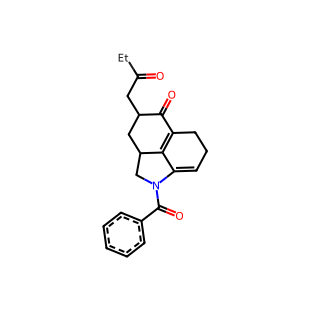 CCC(=O)CC1CC2CN(C(=O)c3ccccc3)C3=CCCC(=C32)C1=O